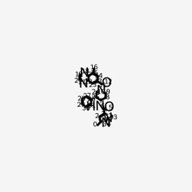 Cc1cc(C(=O)N[C@@H]2CCN(C(=O)c3cc(C)c4nccnc4c3)C[C@@H]2c2ccccc2)n(C)n1